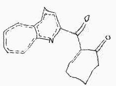 O=C1CCCC=C1C(=O)c1ccc2ccccc2n1